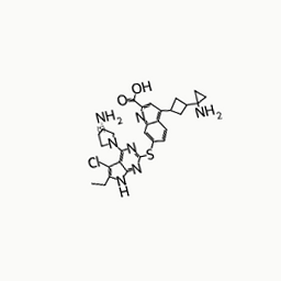 CCc1[nH]c2nc(Sc3ccc4c(C5CC(C6(N)CC6)C5)cc(C(=O)O)nc4c3)nc(N3CC[C@H](N)C3)c2c1Cl